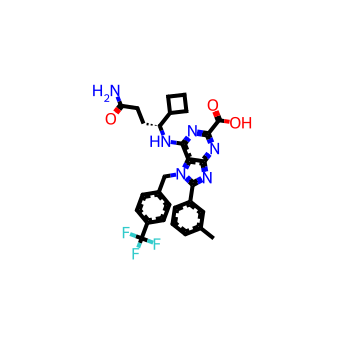 Cc1cccc(-c2nc3nc(C(=O)O)nc(N[C@H](CCC(N)=O)C4CCC4)c3n2Cc2ccc(C(F)(F)F)cc2)c1